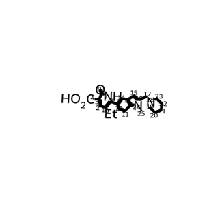 CCc1cc(C(=O)O)c(=O)[nH]c1-c1ccc2c(c1)cc(CN1CCCCC1)n2C